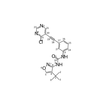 CC(C)(C)c1conc1NC(=O)Nc1cccc(C#Cc2cncnc2Cl)c1